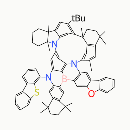 Cc1cc2c3cc1N1c4cc5c(cc4B4c6cc7c(cc6N(c6cccc8c6sc6ccccc68)c6cc(cc1c64)N1c4cc(c(C(C)(C)C)cc4C4(C)CCCCC14C)C3(C)CCC2(C)C)C(C)(C)CCC7(C)C)oc1ccccc15